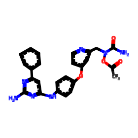 NC(=O)N(Cc1cc(Oc2ccc(Nc3cc(-c4ccccc4)nc(N)n3)cc2)ccn1)OC(=O)C(F)(F)F